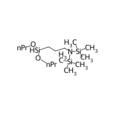 CCCO[SiH](CCCN([Si](C)(C)C)[Si](C)(C)C)OCCC